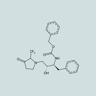 O=C(N[C@@H](Cc1ccccc1)[C@H](O)CN1CCC(=O)C1C(F)(F)F)OCc1ccccc1